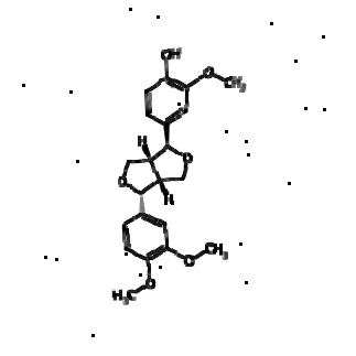 COc1cc([C@H]2OC[C@H]3[C@@H]2CO[C@H]3c2ccc(OC)c(OC)c2)ccc1O